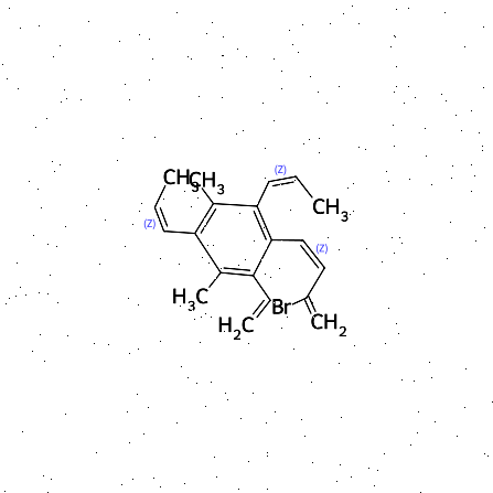 C=Cc1c(C)c(/C=C\C)c(C)c(/C=C\C)c1/C=C\C(=C)Br